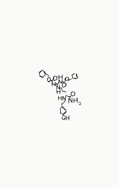 NC(=O)[C@@H](CCCNC(=NC(=O)OCc1ccccc1)NC(=O)OCc1ccccc1)NCCc1ccc(O)cc1